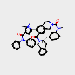 Cc1c(C(=O)N(c2ccccc2)c2ccccc2)cc(-c2cc3c(cc2C(=O)N2Cc4ccccc4C[C@H]2C)CN(C(=O)N(C)c2ccccc2)CC3)n1C